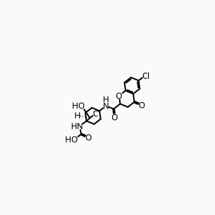 O=C(O)NC12CCC(NC(=O)C3CC(=O)c4cc(Cl)ccc4O3)(CC1)C[C@@H]2O